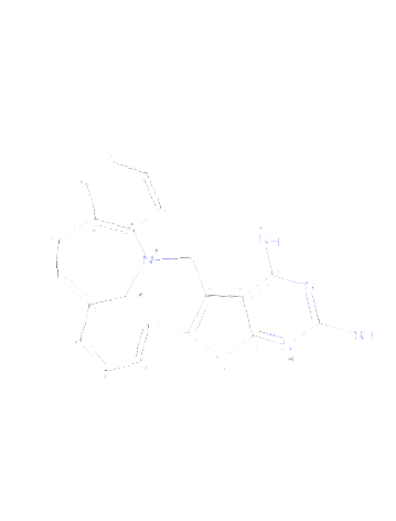 Nc1nc(N)c2c(CN3C4=C(CC=C5C=CC=CC53)CCC=C4)coc2n1